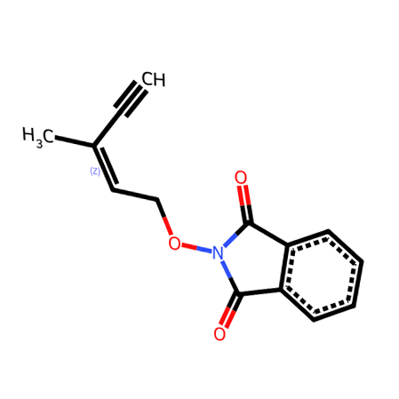 C#C/C(C)=C\CON1C(=O)c2ccccc2C1=O